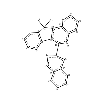 CC1(C)c2ccccc2-c2c(-c3ccc4ccccc4c3)nc3ccccc3c21